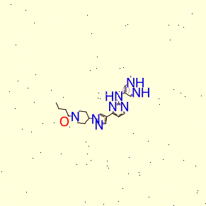 CCCC(=O)N1CCC(n2cc(-c3ccnc(N/C(C=N)=C/NC)n3)cn2)CC1